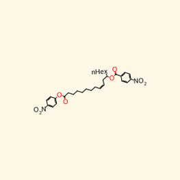 CCCCCC[C@H](C/C=C\CCCCCCCC(=O)Oc1ccc([N+](=O)[O-])cc1)OC(=O)c1ccc([N+](=O)[O-])cc1